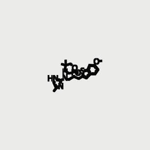 COc1ccc2cc(CC(CNc3nc(C)c[nH]3)P3(=O)CCC(C)(C)CO3)sc2c1